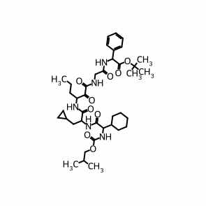 CCCC(NC(=O)C(CC1CC1)NC(=O)C(NC(=O)OCC(C)C)C1CCCCC1)C(=O)C(=O)NCC(=O)NC(C(=O)OC(C)(C)C)c1ccccc1